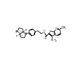 Cc1ccc2c(N)c(C(=O)NCCc3ccc(N4CC[C@@H]5NCC[C@@H]54)cc3)sc2n1